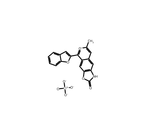 Cc1cc2cc3[nH]c(=O)oc3cc2c(-c2cc3ccccc3o2)[o+]1.[O-][Cl+3]([O-])([O-])[O-]